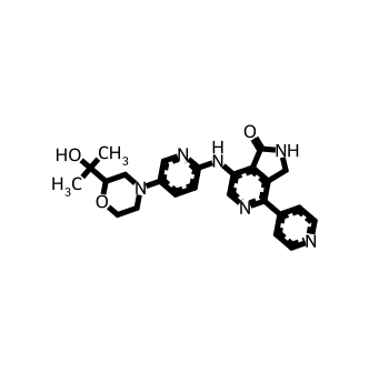 CC(C)(O)C1CN(c2ccc(Nc3cnc(-c4ccncc4)c4c3C(=O)NC4)nc2)CCO1